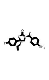 Bc1ccc([C@H](C)N2C[C@@](CC=C)(c3ccc(F)cc3)OC2=O)cc1